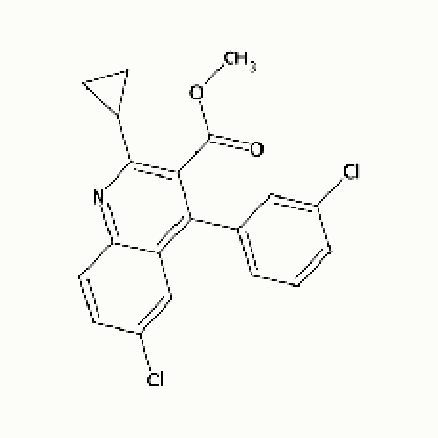 COC(=O)c1c(C2CC2)nc2ccc(Cl)cc2c1-c1cccc(Cl)c1